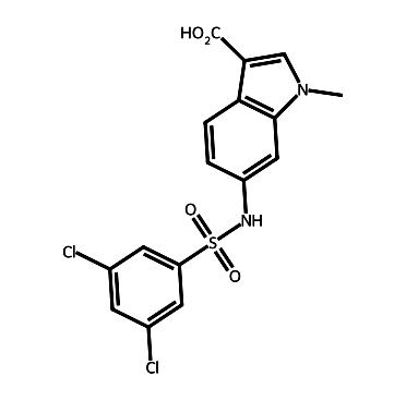 Cn1cc(C(=O)O)c2ccc(NS(=O)(=O)c3cc(Cl)cc(Cl)c3)cc21